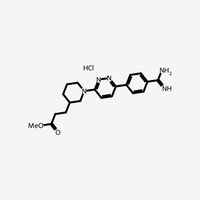 COC(=O)CCC1CCCN(c2ccc(-c3ccc(C(=N)N)cc3)nn2)C1.Cl